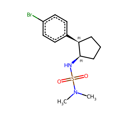 CN(C)S(=O)(=O)N[C@@H]1CCC[C@@H]1c1ccc(Br)cc1